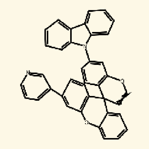 c1cncc(-c2ccc3c(c2)Oc2ccccc2C32c3ccccc3Oc3cc(-n4c5ccccc5c5ccccc54)ccc32)c1